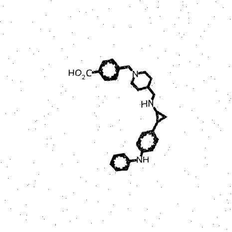 O=C(O)c1ccc(CN2CCC(CNC3CC3c3ccc(Nc4ccccc4)cc3)CC2)cc1